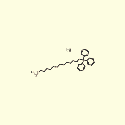 I.PCCCCCCCCCCCCCC(c1ccccc1)(c1ccccc1)c1ccccc1